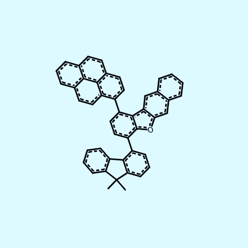 CC1(C)c2ccccc2-c2c(-c3ccc(-c4ccc5ccc6cccc7ccc4c5c67)c4c3oc3cc5ccccc5cc34)cccc21